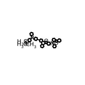 C[Si](C)(C)c1ccc(N(c2ccccc2)c2ccc(-c3ccc4c(c3)c3ccccc3c3c5ccc(N(c6ccccc6)c6cccc7c6oc6ccccc67)cc5oc43)cc2)cc1